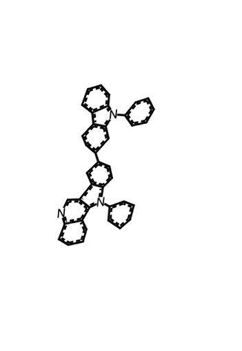 c1ccc(-n2c3ccccc3c3ccc(-c4ccc5c(c4)c4cnc6ccccc6c4n5-c4ccccc4)cc32)cc1